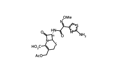 CON=C(C(=O)N[C@H]1C(=O)N2C(C(=O)O)=C(COC(C)=O)CSC12)c1csc(N)n1